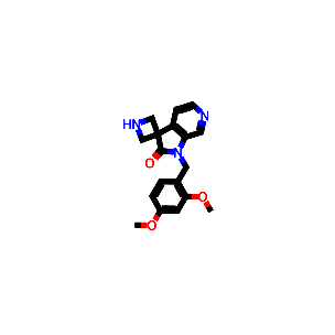 COc1ccc(CN2C(=O)C3(CNC3)c3ccncc32)c(OC)c1